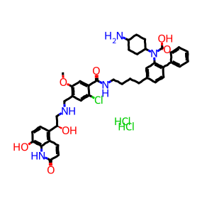 COc1cc(C(=O)NCCCCc2ccc(-c3ccccc3)c(N(C(=O)O)C3CCC(N)CC3)c2)c(Cl)cc1CNC[C@@H](O)c1ccc(O)c2[nH]c(=O)ccc12.Cl.Cl